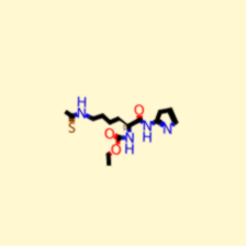 CCOC(=O)N[C@@H](CCCCNC(C)=S)C(=O)NC1=NC=CC1